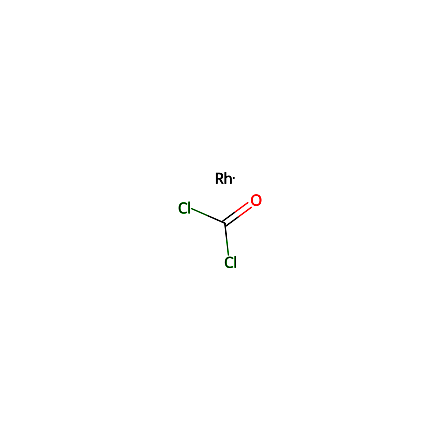 O=C(Cl)Cl.[Rh]